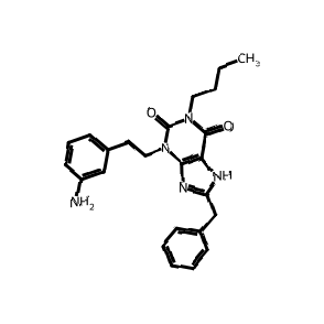 CCCCn1c(=O)c2[nH]c(Cc3ccccc3)nc2n(CCc2cccc(N)c2)c1=O